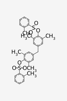 Cc1ccccc1S(=O)(=O)Oc1c(C)cc(Cc2cc(C)c(OS(=O)(=O)c3ccccc3C)c(C)c2)cc1C